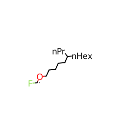 CCCCCCC(CCC)CCCCCO[CH]F